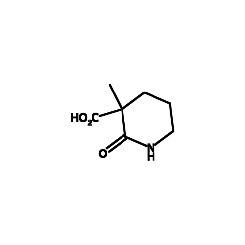 CC1(C(=O)O)CCCNC1=O